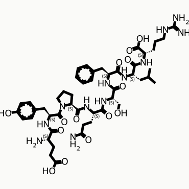 CC(C)C[C@H](NC(=O)[C@H](Cc1ccccc1)NC(=O)[C@H](CO)NC(=O)[C@H](CCC(N)=O)NC(=O)[C@@H]1CCCN1C(=O)[C@H](Cc1ccc(O)cc1)NC(=O)[C@@H](N)CCC(=O)O)C(=O)N[C@@H](CCCNC(=N)N)C(=O)O